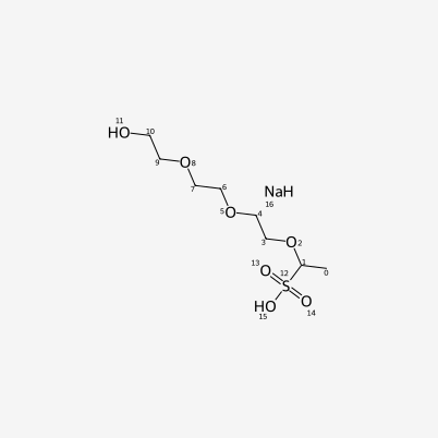 CC(OCCOCCOCCO)S(=O)(=O)O.[NaH]